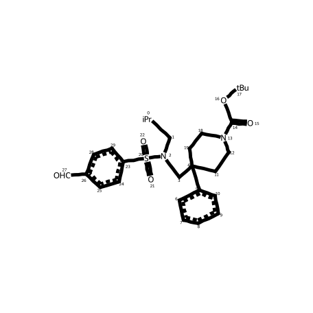 CC(C)CN(CC1(c2ccccc2)CCN(C(=O)OC(C)(C)C)CC1)S(=O)(=O)c1ccc(C=O)cc1